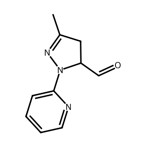 CC1=NN(c2ccccn2)C(C=O)C1